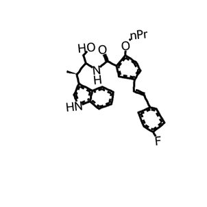 CCCOc1ccc(/C=C/c2ccc(F)cc2)cc1C(=O)NC(CO)[C@H](C)c1c[nH]c2ccccc12